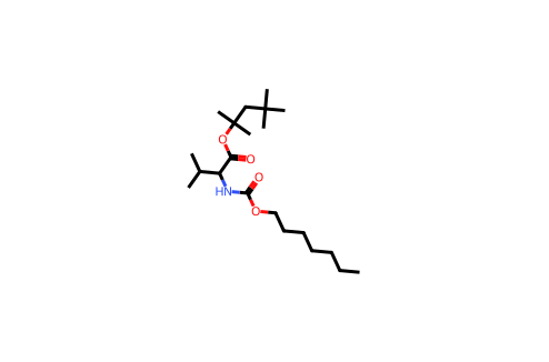 CCCCCCCOC(=O)NC(C(=O)OC(C)(C)CC(C)(C)C)C(C)C